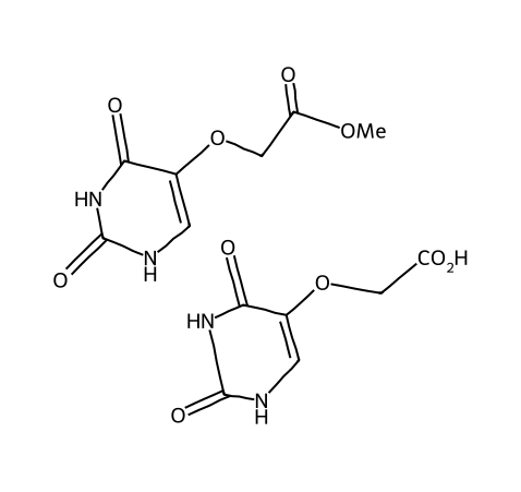 COC(=O)COc1c[nH]c(=O)[nH]c1=O.O=C(O)COc1c[nH]c(=O)[nH]c1=O